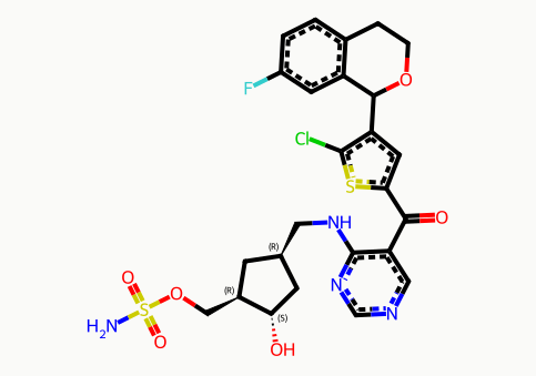 NS(=O)(=O)OC[C@H]1C[C@@H](CNc2ncncc2C(=O)c2cc(C3OCCc4ccc(F)cc43)c(Cl)s2)C[C@@H]1O